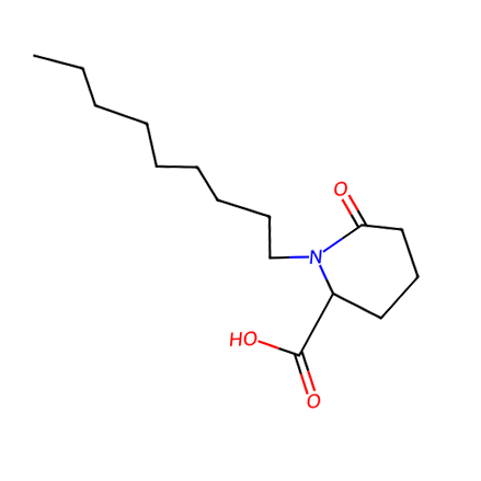 CCCCCCCCCN1C(=O)CCCC1C(=O)O